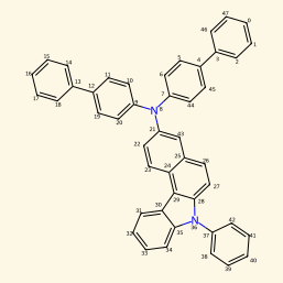 c1ccc(-c2ccc(N(c3ccc(-c4ccccc4)cc3)c3ccc4c(ccc5c4c4ccccc4n5-c4ccccc4)c3)cc2)cc1